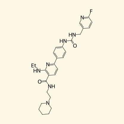 CCNc1nc(-c2ccc(NC(=O)NCc3ccc(F)nc3)cc2)ccc1C(=O)NCCN1CCCCC1